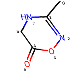 CC1=NOC(=O)CN1